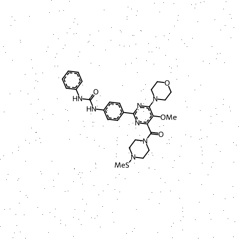 COc1c(C(=O)N2CCN(SC)CC2)nc(-c2ccc(NC(=O)Nc3ccccc3)cc2)nc1N1CCOCC1